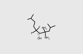 CC(C)CCC(F)(F)[C@@H](O)C(N)(N)CC(C)C